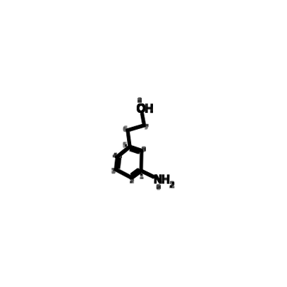 Nc1cc[c]c(CCO)c1